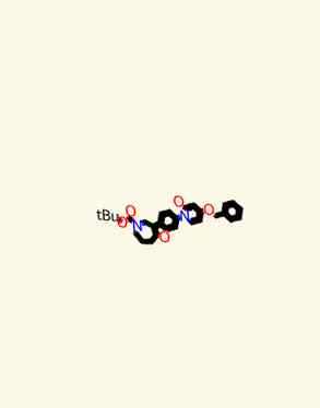 CC(C)(C)OC(=O)N1CCCc2oc3cc(-n4ccc(OCc5ccccc5)cc4=O)ccc3c2C1